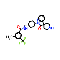 Cc1cc(C(=O)NC[C@H]2CC[C@H](NC(=O)C3(c4ccccc4)CCNCC3)CC2)cc(C(F)(F)F)c1